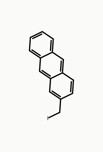 ICc1ccc2cc3ccccc3cc2c1